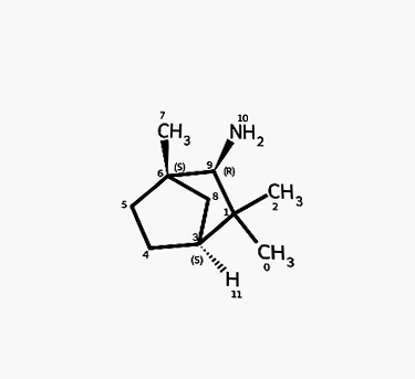 CC1(C)[C@H]2CC[C@@](C)(C2)[C@H]1N